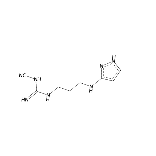 N#CNC(=N)NCCCNc1cc[nH]n1